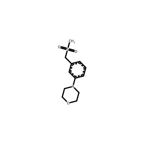 CS(=O)(=O)Cc1cccc(N2CCOCC2)c1